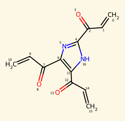 C=CC(=O)c1nc(C(=O)C=C)c(C(=O)C=C)[nH]1